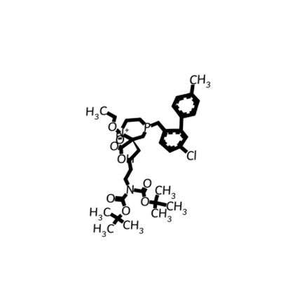 CCO[N+]1([O-])CCP(Cc2ccc(Cl)cc2-c2ccc(C)cc2)C[C@]1(CCCCN(C(=O)OC(C)(C)C)C(=O)OC(C)(C)C)C(=O)O